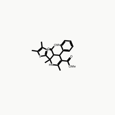 COC(=O)C1=C(C)NC(C)(c2nc(C)c(C)s2)C(C(=O)OC)C1c1ccccc1